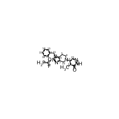 Cc1c(N2CCc3c(nnn3Cc3ccccc3OC(F)P)C2)cn[nH]c1=O